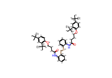 CCC(C)(C)c1ccc(OCCCC(=O)Nc2ccccc2SSc2ccccc2NC(=O)CCCOc2ccc(C(C)(C)CC)cc2C(C)(C)CC)c(C(C)(C)CC)c1